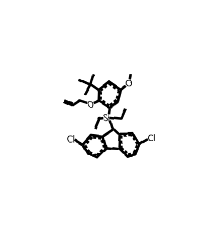 C=CCOc1c(C(C)(C)C)cc(OC)cc1[Si](CC)(CC)C1c2cc(Cl)ccc2-c2ccc(Cl)cc21